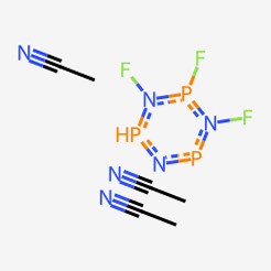 CC#N.CC#N.CC#N.Fn1pn[pH]n(F)p1F